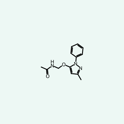 CC(=O)NCOc1cc(C)nn1-c1ccccc1